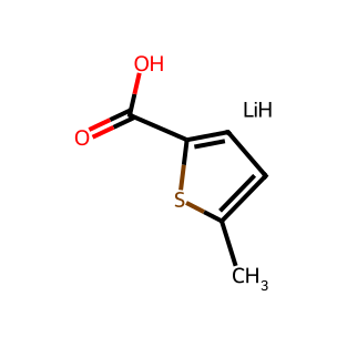 Cc1ccc(C(=O)O)s1.[LiH]